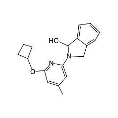 Cc1cc(OC2CCC2)nc(N2Cc3ccccc3C2O)c1